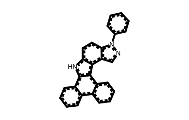 c1ccc(-n2ncc3c4c(ccc32)[nH]c2c3ccccc3c3ccccc3c24)cc1